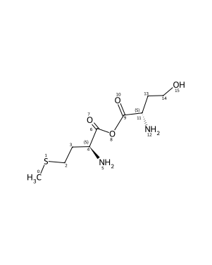 CSCC[C@H](N)C(=O)OC(=O)[C@@H](N)CCO